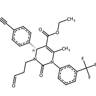 CCOC(=O)C1=C(C)N(c2cccc(C(F)(F)F)c2)C(=O)N(CCC=O)[C@@H]1c1ccc(C#N)cc1